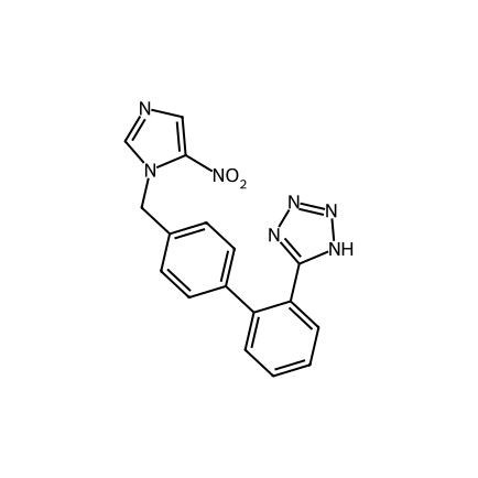 O=[N+]([O-])c1cncn1Cc1ccc(-c2ccccc2-c2nnn[nH]2)cc1